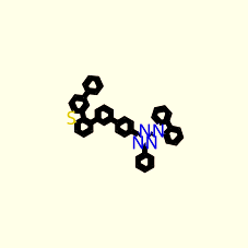 c1ccc(-c2ccc3sc4cccc(-c5cccc(-c6ccc(-c7nc(-c8ccccc8)nc(-n8c9ccccc9c9ccccc98)n7)cc6)c5)c4c3c2)cc1